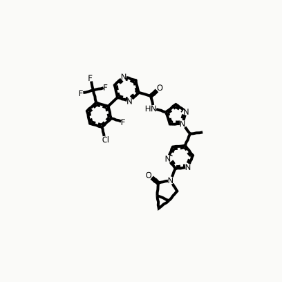 CC(c1cnc(N2CC3CC3C2=O)nc1)n1cc(NC(=O)c2cncc(-c3c(C(F)(F)F)ccc(Cl)c3F)n2)cn1